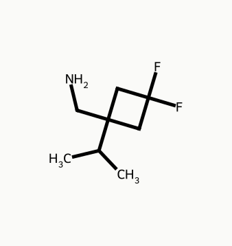 CC(C)C1(CN)CC(F)(F)C1